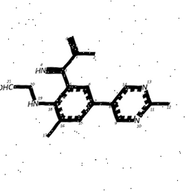 C=C(C)C(=N)c1cc(-c2cnc(C)nc2)cc(C)c1NCC=O